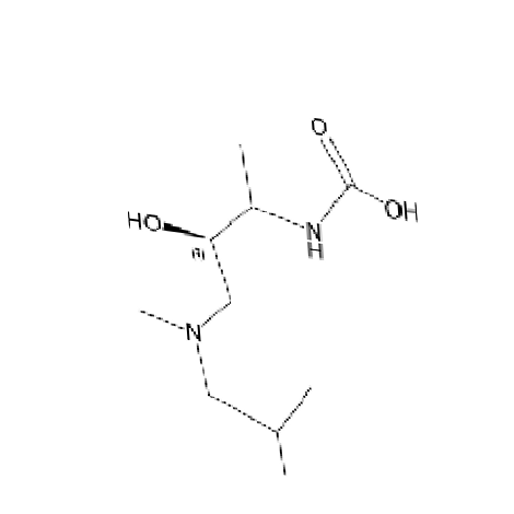 CC(C)CN(C)C[C@@H](O)C(C)NC(=O)O